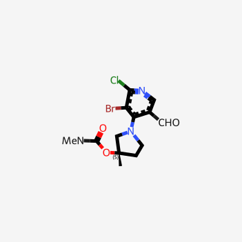 CNC(=O)O[C@@]1(C)CCN(c2c(C=O)cnc(Cl)c2Br)C1